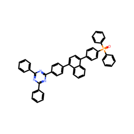 O=P(c1ccccc1)(c1ccccc1)c1ccc(-c2ccc(-c3ccc(-c4nc(-c5ccccc5)nc(-c5ccccc5)n4)cc3)c3ccccc23)cc1